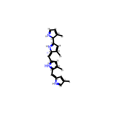 CC1=CC(=Cc2[nH]c(/C=C3/N=C(C4N=CC=C4C)C=C3C)cc2C)N=C1